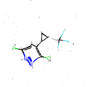 FC(F)(F)[C@H]1C[C@@H]1c1cc(Cl)nnc1Cl